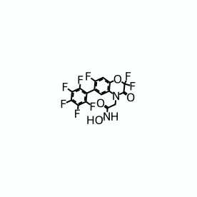 O=C(CN1C(=O)C(F)(F)Oc2cc(F)c(-c3c(F)c(F)c(F)c(F)c3F)cc21)NO